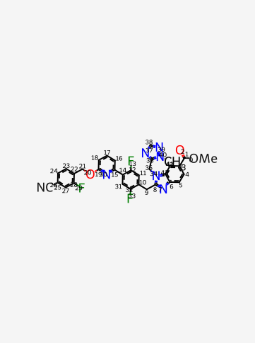 COC(=O)c1ccc2nc(Cc3cc(F)c(-c4cccc(OCc5ccc(C#N)cc5F)n4)cc3F)n(Cc3ncnn3C)c2c1